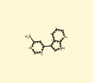 Nc1cc(-c2c[nH]c3ncccc23)ncn1